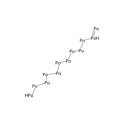 [Po]=[PoH][Po][Po][Po][Po][Po][Po][Po][Po][Po][PoH]